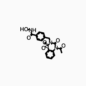 CC(=O)N1C(=O)N(Cc2ccc(C(=O)NO)cc2)S(=O)(=O)c2ccccc21